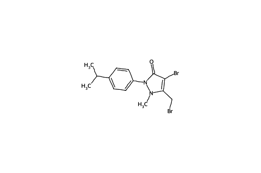 CC(C)c1ccc(-n2c(=O)c(Br)c(CBr)n2C)cc1